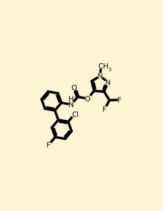 Cn1cc(OC(=O)Nc2ccccc2-c2cc(F)ccc2Cl)c(C(F)F)n1